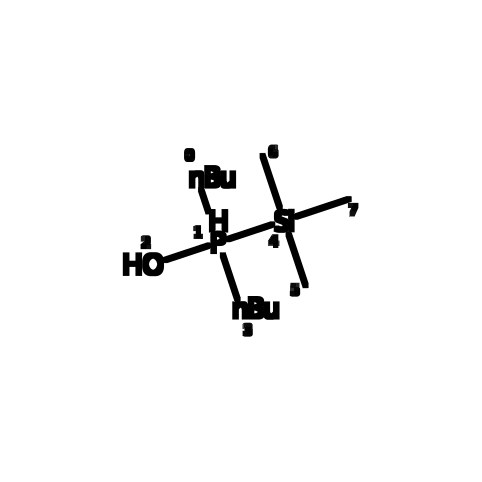 CCCC[PH](O)(CCCC)[Si](C)(C)C